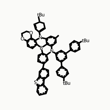 Cc1cc2c3c(c1)N(c1cc(-c4ccc(C(C)(C)C)cc4)cc(-c4ccc(C(C)(C)C)cc4)c1)c1cc(-c4ccc5c(c4)sc4ccccc45)ccc1B3c1ccc3c(c1N2C1=CCC(C(C)(C)C)C=C1)OCCO3